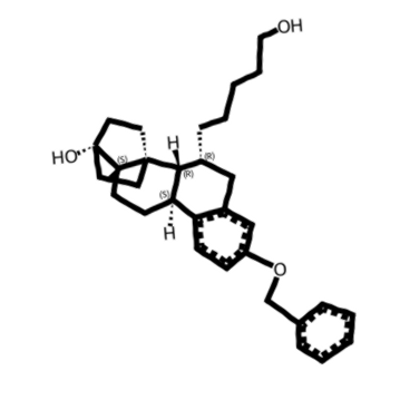 C[C@]12CC[C@@H]3c4ccc(OCc5ccccc5)cc4C[C@@H](CCCCCO)[C@H]3[C@]13CC[C@]2(O)CC3